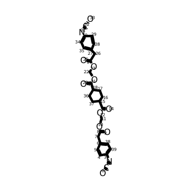 O=C=Nc1ccc(CC(=O)OCOC(=O)C2CCC(C(=O)OCOC(=O)Cc3ccc(N=C=O)cc3)CC2)cc1